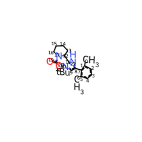 Cc1cccc(C)c1-c1cnc(C2CCCCN2C(=O)OC(C)(C)C)[nH]1